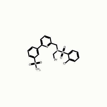 CC(C)CN(Cc1cccc(-c2cccc(S(C)(=O)=O)c2)n1)S(=O)(=O)c1ccccc1Cl